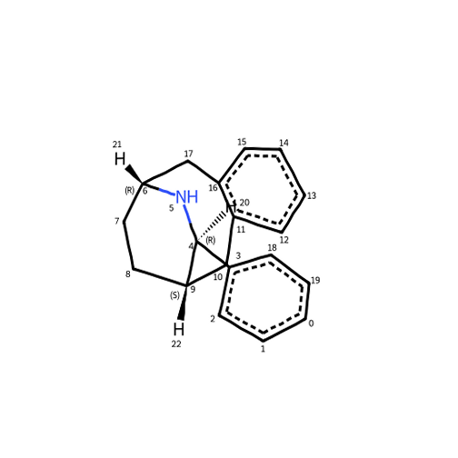 c1ccc([C@@H]2N[C@@H]3CC[C@H]2Cc2ccccc2C3)cc1